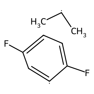 C[CH]C.Fc1[c]cc(F)cc1